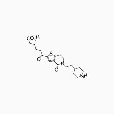 O=C(O)CCCCC(=O)c1cc2c(s1)CCN(CCC1CCNCC1)C2=O